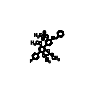 COCOc1c(OC)c(-c2ccc(F)cc2)cc(OC)c1-c1ccc(OCc2ccccc2)c(OS(C)(=O)=O)c1